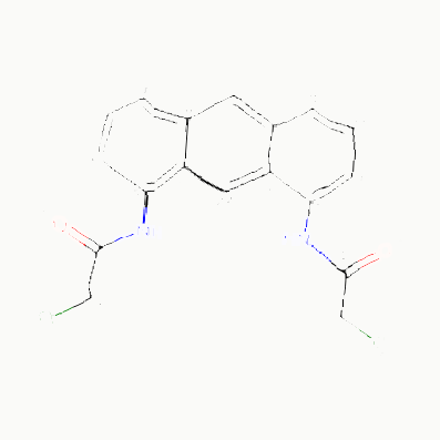 O=C(CCl)Nc1cccc2cc3cccc(NC(=O)CCl)c3cc12